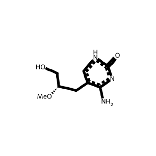 [CH2]O[C@H](CO)Cc1c[nH]c(=O)nc1N